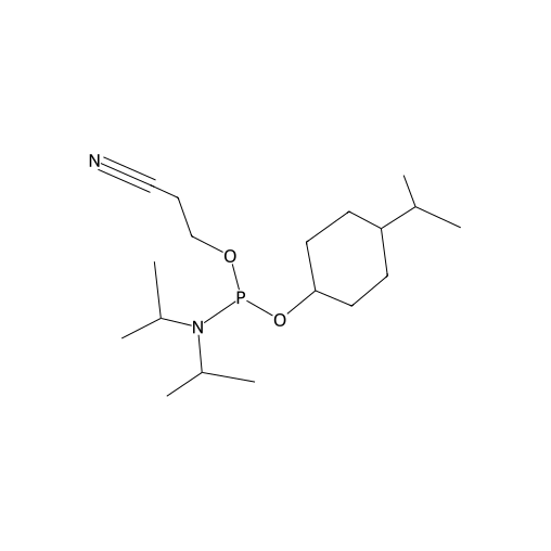 CC(C)C1CCC(OP(OCCC#N)N(C(C)C)C(C)C)CC1